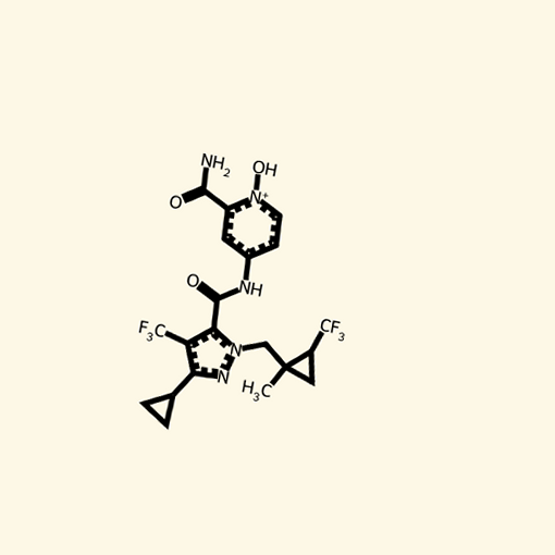 CC1(Cn2nc(C3CC3)c(C(F)(F)F)c2C(=O)Nc2cc[n+](O)c(C(N)=O)c2)CC1C(F)(F)F